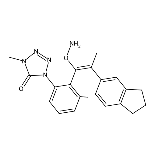 C/C(=C(\ON)c1c(C)cccc1-n1nnn(C)c1=O)c1ccc2c(c1)CCC2